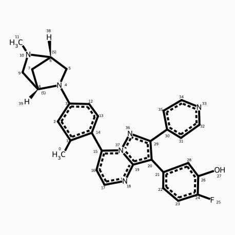 Cc1cc(N2C[C@@H]3C[C@H]2CN3C)ccc1-c1ccnc2c(-c3ccc(F)c(O)c3)c(-c3ccncc3)nn12